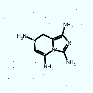 NC1=CN(N)CC2=C(N)N=C(N)[N+]12